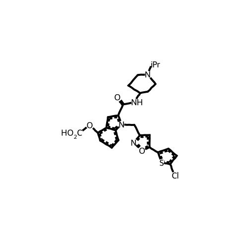 CC(C)N1CCC(NC(=O)c2cc3c(OC(=O)O)cccc3n2Cc2cc(-c3ccc(Cl)s3)on2)CC1